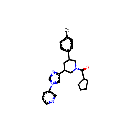 CCc1ccc(C2CC(c3cn(-c4cccnc4)cn3)CN(C(=O)C3CCCC3)C2)cc1